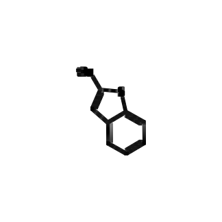 CC(C)(C)c1cc2ccccc2s1